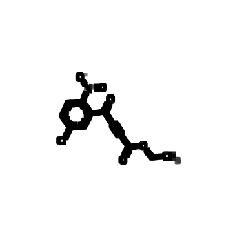 CCOC(=O)C#CC(=O)c1cc(Cl)ccc1[N+](=O)[O-]